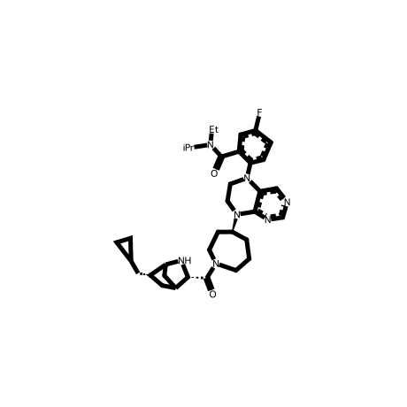 CCN(C(=O)c1cc(F)ccc1N1CCN([C@H]2CCCN(C(=O)[C@H]3NC4CC3C[C@@H]4CC3CC3)CC2)c2ncncc21)C(C)C